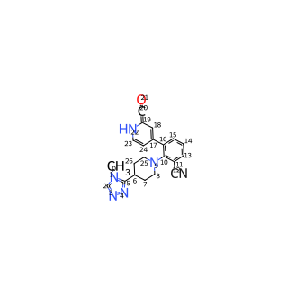 Cn1cnnc1C1CCN(c2c(C#N)cccc2C2=CC(=C=O)NC=C2)CC1